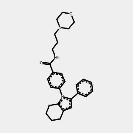 O=C(NCCCN1CCOCC1)c1ccc(-n2c(-c3ccccc3)cc3c2CCCC3)cc1